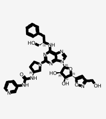 O=C(Nc1cccnc1)N[C@@H]1CCN(c2nc(N[C@H](CO)Cc3ccccc3)c3ncn([C@@H]4O[C@H](c5cc(CO)no5)[C@@H](O)[C@H]4O)c3n2)C1